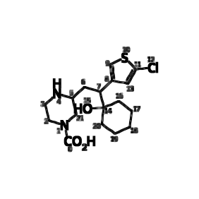 O=C(O)N1CCNC(CC(c2csc(Cl)c2)C2(O)CCCCC2)C1